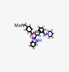 CCCCN(C(=O)c1ccc(CNC)cc1)C(Cc1ccccc1CN1CCCCC1)c1nc2ccccc2[nH]1